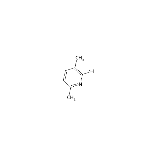 [2H]c1nc(C)ccc1C